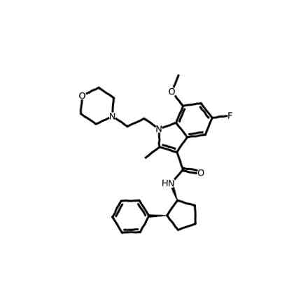 COc1cc(F)cc2c(C(=O)N[C@H]3CCC[C@H]3c3ccccc3)c(C)n(CCN3CCOCC3)c12